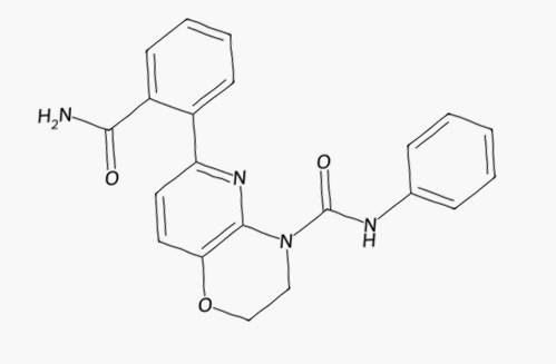 NC(=O)c1ccccc1-c1ccc2c(n1)N(C(=O)Nc1ccccc1)CCO2